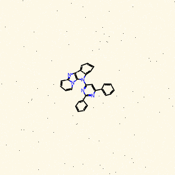 c1ccc(-c2cc(-n3c4ccccc4c4nc5ccccn5c43)nc(-c3ccccc3)n2)cc1